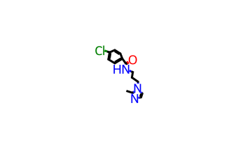 Cc1nccn1CCCNC(=O)c1ccc(Cl)cc1